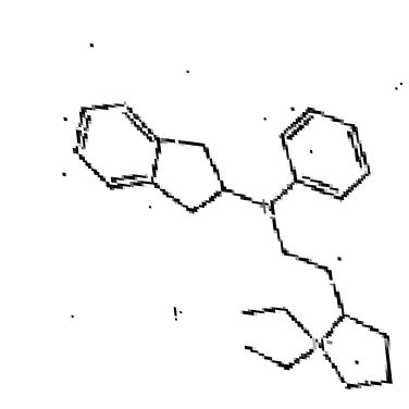 CC[N+]1(CC)CCCC1CCN(c1ccccc1)C1Cc2ccccc2C1.[I-]